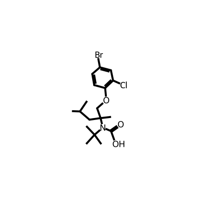 CC(C)CC(C)(COc1ccc(Br)cc1Cl)N(C(=O)O)C(C)(C)C